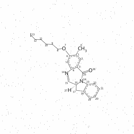 Cc1cc2c(cc1OCCCCCI)N=C[C@@H]1Cc3ccccc3N1C2=O